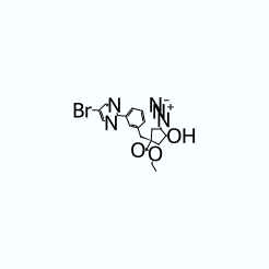 CCOC(=O)[C@@]1(Cc2cccc(-c3ncc(Br)cn3)c2)C[C@@H](O)[C@H](N=[N+]=[N-])C1